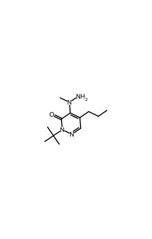 CCCc1cnn(C(C)(C)C)c(=O)c1N(C)N